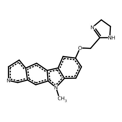 Cn1c2ccc(OCC3=NCCN3)cc2c2cc3ccncc3cc21